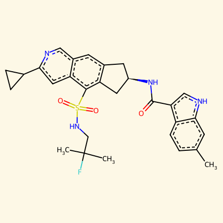 Cc1ccc2c(C(=O)N[C@@H]3Cc4cc5cnc(C6CC6)cc5c(S(=O)(=O)NCC(C)(C)F)c4C3)c[nH]c2c1